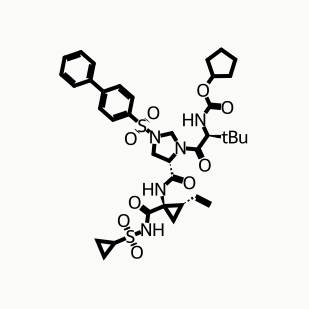 C=C[C@@H]1C[C@]1(NC(=O)[C@@H]1CN(S(=O)(=O)c2ccc(-c3ccccc3)cc2)CN1C(=O)[C@@H](NC(=O)OC1CCCC1)C(C)(C)C)C(=O)NS(=O)(=O)C1CC1